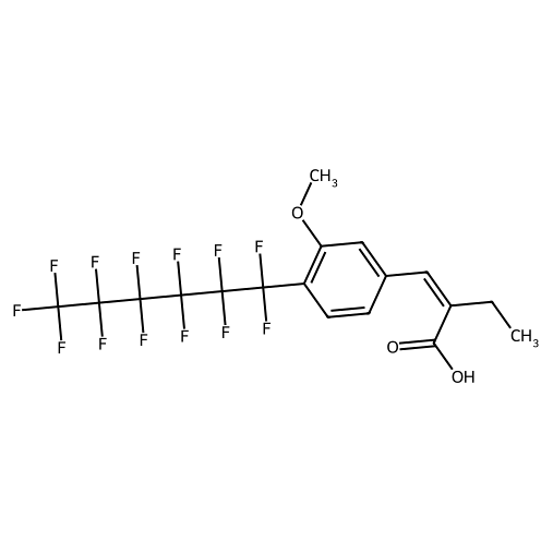 CCC(=Cc1ccc(C(F)(F)C(F)(F)C(F)(F)C(F)(F)C(F)(F)C(F)(F)F)c(OC)c1)C(=O)O